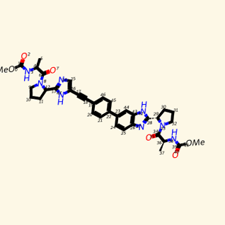 COC(=O)NC(C)C(=O)N1CCCC1c1ncc(C#Cc2ccc(-c3ccc4nc([C@@H]5CCCN5C(=O)[C@H](C)NC(=O)OC)[nH]c4c3)cc2)[nH]1